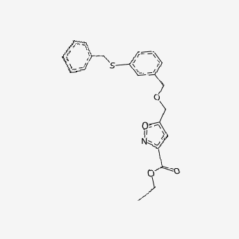 CCOC(=O)c1cc(COCc2cccc(SCc3ccccc3)c2)on1